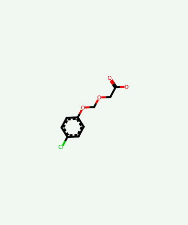 [O]C(=O)COCOc1ccc(Cl)cc1